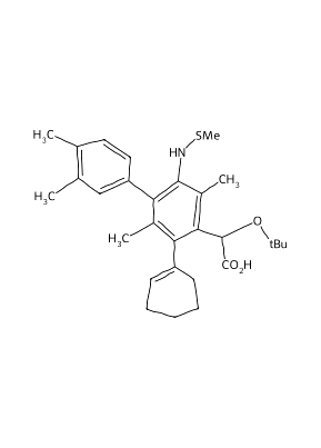 CSNc1c(C)c(C(OC(C)(C)C)C(=O)O)c(C2=CCCCC2)c(C)c1-c1ccc(C)c(C)c1